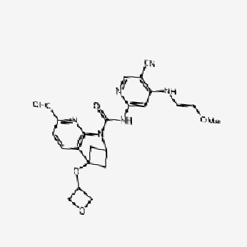 COCCNc1cc(NC(=O)N2c3nc(C=O)ccc3C3(OC4COC4)CC2C3)ncc1C#N